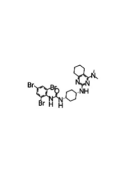 CN(C)c1nc(N[C@H]2CC[C@@H](NC(=O)Nc3c(Br)cc(Br)cc3Br)CC2)nc2c1CCCC2